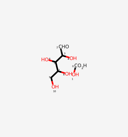 O=C(O)O.O=CC(O)C(O)C(O)CO